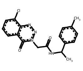 Cc1ccc(C(C)NC(=O)Cn2nnc3c(Cl)cccc3c2=O)cc1